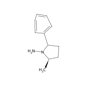 C[C@@H]1CCC(c2ccccc2)N1N